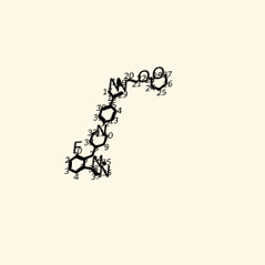 Fc1cccc2c1C(C1CCN(c3ccc(-c4cnn(CCOC5CCCCO5)c4)cc3)CC1)n1cncc1-2